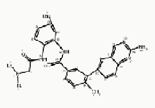 CCN(CC)CC(=O)Nc1ccc(C(C)(C)C)cc1NC(=O)c1ccc(C)c(-c2ccc3nc(N)ncc3c2)c1